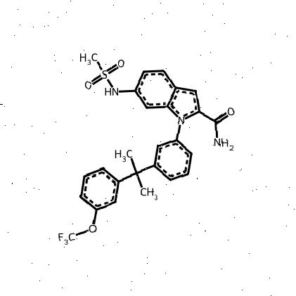 CC(C)(c1cccc(OC(F)(F)F)c1)c1cccc(-n2c(C(N)=O)cc3ccc(NS(C)(=O)=O)cc32)c1